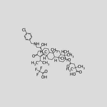 CC(C)C1=C2[C@H]3CC[C@@H]4[C@@]5(C)CC[C@H](OC(=O)CC(C)(C)C(=O)O)C(C)(C)[C@@H]5CC[C@@]4(C)[C@]3(C)CC[C@@]2(C(O)CNCc2ccc(Cl)cc2)CC1=O.O=C(O)C(F)(F)F